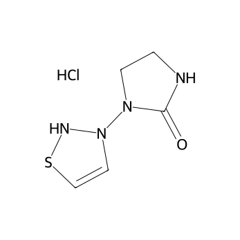 Cl.O=C1NCCN1N1C=CSN1